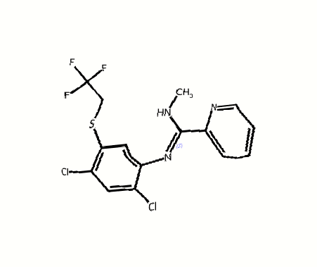 CN/C(=N\c1cc(SCC(F)(F)F)c(Cl)cc1Cl)c1ccccn1